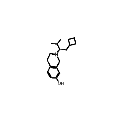 CC(C)[C@@H](CC1CCC1)N1CCc2ccc(O)cc2C1